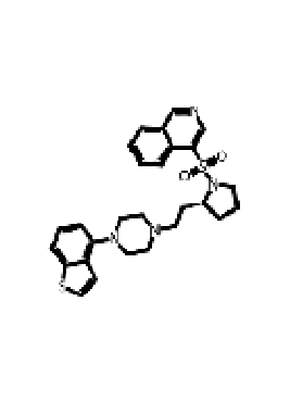 O=S(=O)(c1cncc2ccccc12)N1CCC[C@H]1CCN1CCN(c2cccc3sccc23)CC1